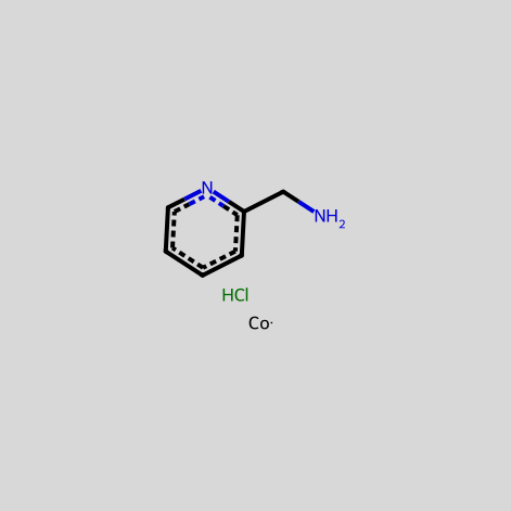 Cl.NCc1ccccn1.[Co]